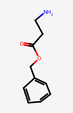 N[CH]CC(=O)OCc1ccccc1